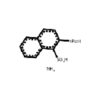 CCCCCc1ccc2ccccc2c1S(=O)(=O)O.N